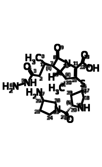 CC(CC(=O)NN)[C@H]1C(=O)N2C(C(=O)O)=C(S[C@@H]3CN[C@H](C(=O)N4CCC(N)C4)C3)[C@H](C)[C@H]12